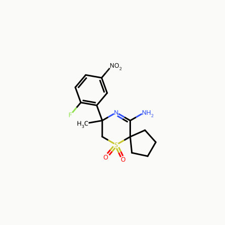 CC1(c2cc([N+](=O)[O-])ccc2F)CS(=O)(=O)C2(CCCC2)C(N)=N1